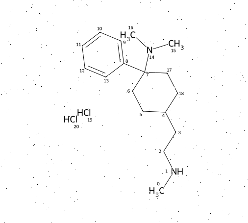 CNCCC1CCC(c2ccccc2)(N(C)C)CC1.Cl.Cl